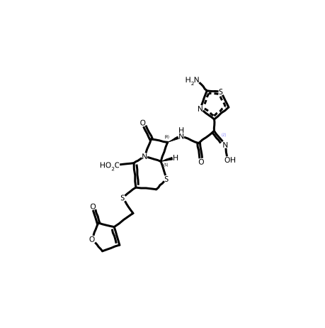 Nc1nc(/C(=N/O)C(=O)N[C@@H]2C(=O)N3C(C(=O)O)=C(SCC4=CCOC4=O)CS[C@@H]23)cs1